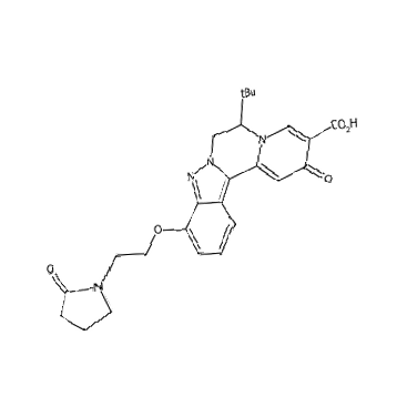 CC(C)(C)C1Cn2nc3c(OCCN4CCCC4=O)cccc3c2-c2cc(=O)c(C(=O)O)cn21